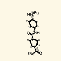 CCC(C)Nc1ccc(NC(=O)c2ccc(C(=O)C(C)(C)C)cc2)cc1